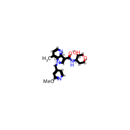 COc1cc(Cn2cc(C(=O)NC3CCOC[C@@H]3O)c3nccc(C)c32)ccn1